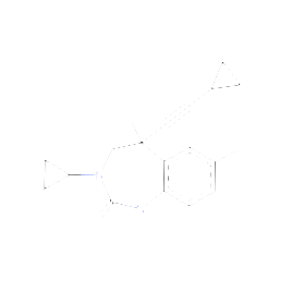 O=C1Nc2ccc(Cl)cc2C(C#CC2CC2)(C(F)(F)F)CN1C1CC1